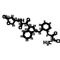 CN(C)C(=O)Cc1ccccc1Cn1cc(C(=O)C(=O)NC2=CC(=O)OC2)c2ccccc21